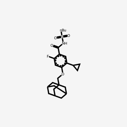 CCCCS(=O)(=O)NC(=O)c1cc(C2CC2)c(OCC23CC4CC(CC(C4)C2)C3)cc1F